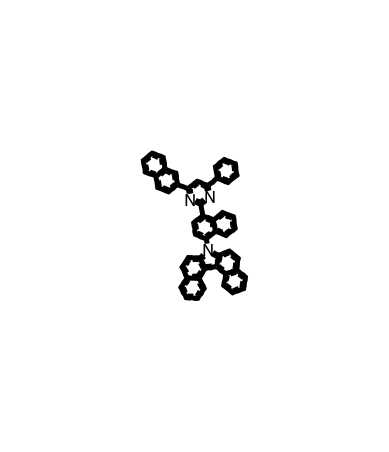 c1ccc(-c2cc(-c3ccc4ccccc4c3)nc(-c3ccc(-n4c5ccc6ccccc6c5c5c6ccccc6ccc54)c4ccccc34)n2)cc1